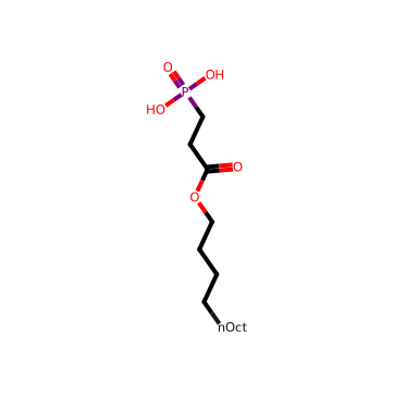 CCCCCCCCCCCCOC(=O)CCP(=O)(O)O